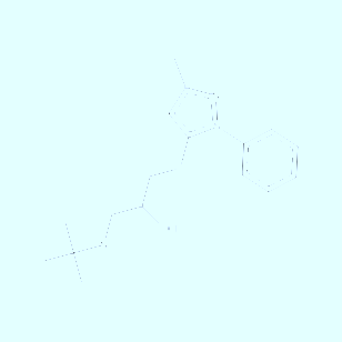 Cc1cc(OCC(O)CNC(C)(C)C)n(-c2ccccc2)n1